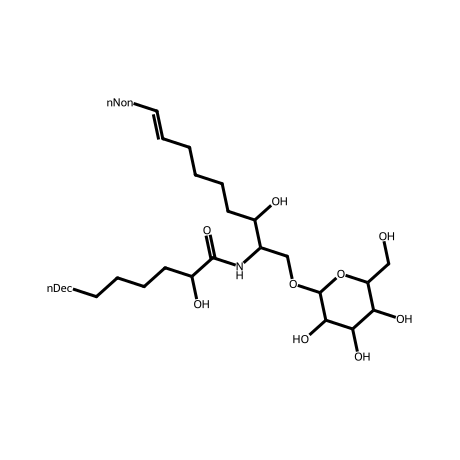 CCCCCCCCC/C=C/CCCCC(O)C(COC1OC(CO)C(O)C(O)C1O)NC(=O)C(O)CCCCCCCCCCCCCC